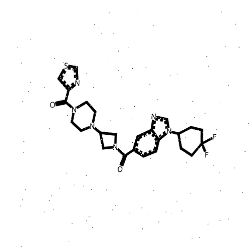 O=C(c1ccc2c(c1)ncn2C1CCC(F)(F)CC1)N1CC(N2CCN(C(=O)c3cscn3)CC2)C1